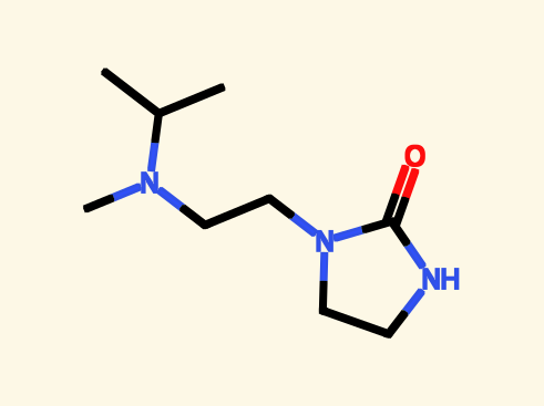 CC(C)N(C)CCN1CCNC1=O